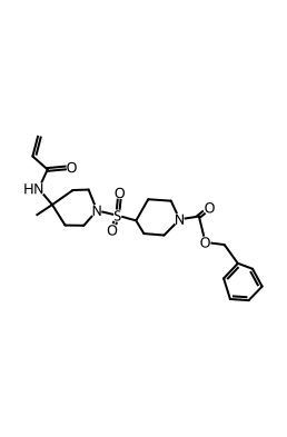 C=CC(=O)NC1(C)CCN(S(=O)(=O)C2CCN(C(=O)OCc3ccccc3)CC2)CC1